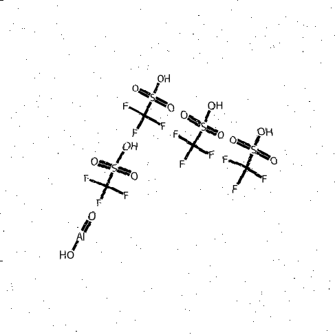 O=S(=O)(O)C(F)(F)F.O=S(=O)(O)C(F)(F)F.O=S(=O)(O)C(F)(F)F.O=S(=O)(O)C(F)(F)F.[O]=[Al][OH]